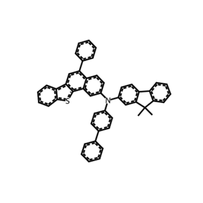 CC1(C)c2ccccc2-c2ccc(N(c3ccc(-c4ccccc4)cc3)c3ccc4c(-c5ccccc5)cc5c6ccccc6sc5c4c3)cc21